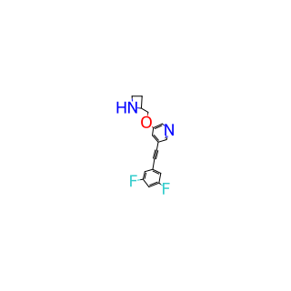 Fc1cc(F)cc(C#Cc2cncc(OCC3CCN3)c2)c1